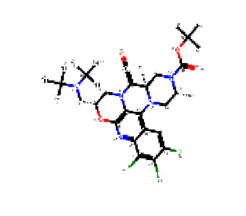 [2H]C([2H])([2H])N(C[C@@H]1CN2C(=C=O)[C@H]3CN(C(=O)OC(C)(C)C)[C@H](C)CN3c3c2c(nc2c(F)c(Br)c(Cl)cc32)O1)C([2H])([2H])[2H]